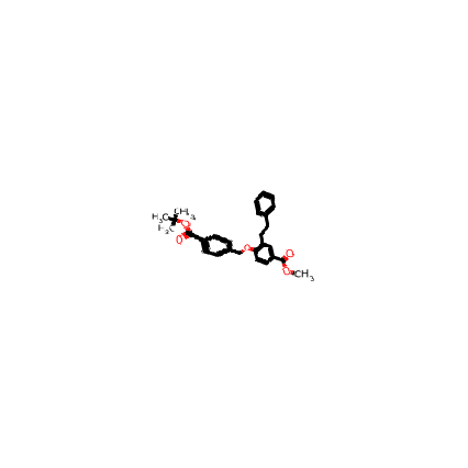 COC(=O)c1ccc(OCc2ccc(C(=O)OC(C)(C)C)cc2)c(CCc2ccccc2)c1